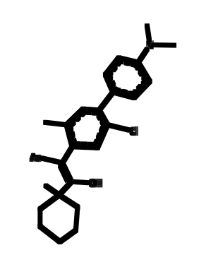 CC(=O)/C(=C(/O)C1(C)CCCCC1)c1cc(Cl)c(-c2ccc(N(C)C)cc2)cc1C